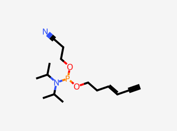 C#C/C=C/CCOP(OCCC#N)N(C(C)C)C(C)C